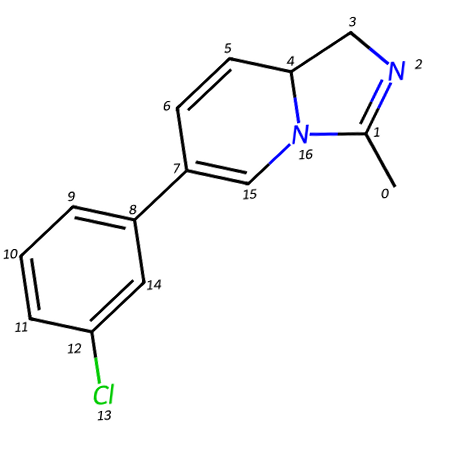 CC1=NCC2C=CC(c3cccc(Cl)c3)=CN12